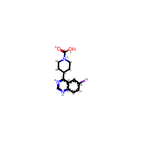 O=C(O)N1CCC(c2ncnc3ccc(I)cc23)CC1